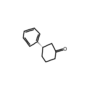 O=C1CCC[C@H](c2ccccc2)C1